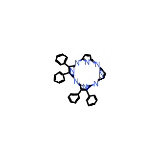 C1=CC2=NC1=NC1=NC(=NC3=NC(=NC4=NC(=N2)C(c2ccccc2)=C4c2ccccc2)C(c2ccccc2)=C3c2ccccc2)C=C1